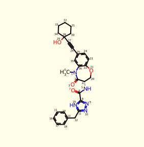 CN1C(=O)[C@@H](NC(=O)c2nnc(Cc3ccccc3)[nH]2)COc2ccc(C#CC3(O)CCCCC3)cc21